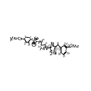 COc1ccc(S(=O)(=O)N(C)CCNc2nc(Cc3cccc(OC)c3)ns2)cc1